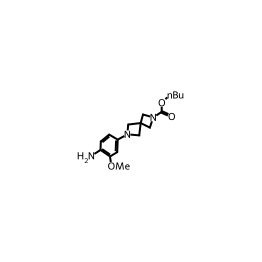 CCCCOC(=O)N1CC2(C1)CN(c1ccc(N)c(OC)c1)C2